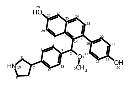 COC(c1ccc(C2CCNC2)cc1)c1c(-c2ccc(O)cc2)ccc2cc(O)ccc12